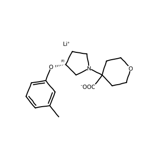 Cc1cccc(O[C@@H]2CCN(C3(C(=O)[O-])CCOCC3)C2)c1.[Li+]